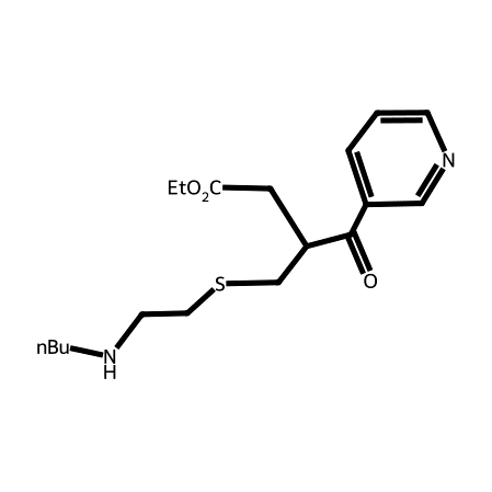 CCCCNCCSCC(CC(=O)OCC)C(=O)c1cccnc1